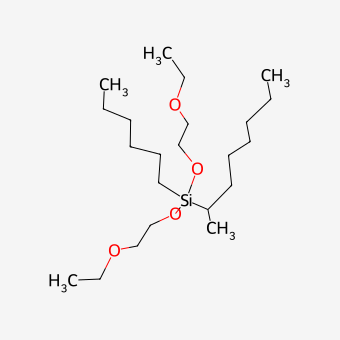 CCCCCCC(C)[Si](CCCCCC)(OCCOCC)OCCOCC